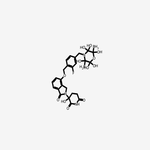 BC1(O)OC(O)(O)C(B)(O)N(Cc2ccc(COc3cccc4c3CN(C3(O)CCC(=O)NC3=O)C4=O)c(F)c2)C1(O)O